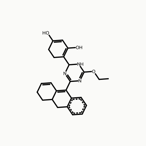 CCOC1=NC(C2=C3C=CCCC3Cc3ccccc32)=NC(C2=C(O)C=C(O)CC2)N1